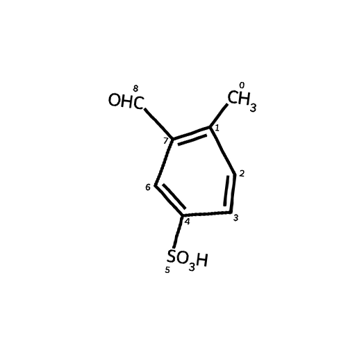 Cc1ccc(S(=O)(=O)O)cc1C=O